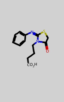 O=C(O)CCCN1C(=O)CS/C1=N/c1ccccc1